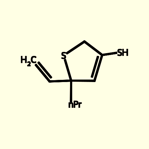 C=CC1(CCC)C=C(S)CS1